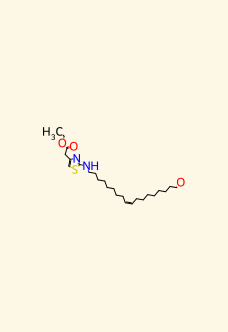 CCOC(=O)Cc1csc(NCCCCCCCC/C=C\CCCCCCCC=O)n1